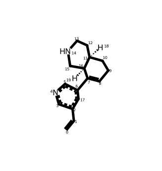 C=Cc1cncc(C2=CCC[C@@H]3CCNC[C@H]23)c1